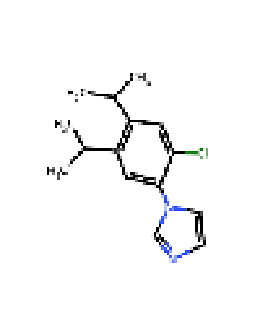 CC(C)c1cc(Cl)c(-n2ccnc2)cc1C(C)C